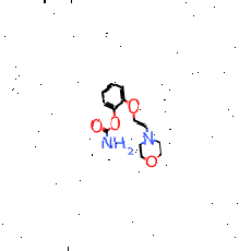 NC(=O)Oc1ccccc1OCCN1CCOCC1